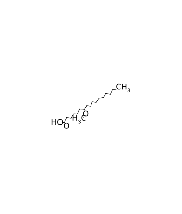 CCCCCCCCCCCC(CCCCCC(=O)O)OC